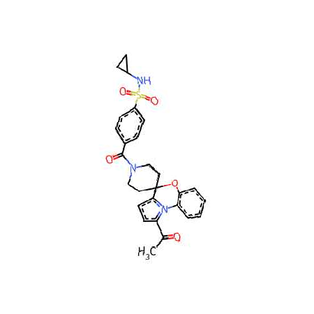 CC(=O)c1ccc2n1-c1ccccc1OC21CCN(C(=O)c2ccc(S(=O)(=O)NC3CC3)cc2)CC1